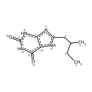 CCC(C)Cc1nc2[nH]c(=O)[nH]c(=O)c2[nH]1